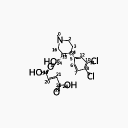 CN1CC[C@H](c2ccc(Cl)c(Cl)c2)[C@H](CO)C1.O=C(O)C=CC(=O)O